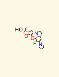 O=C(O)C1=CC2=C(OC3=C(F)C(N4CCCC4)=CC4C=CCN2C34)C1=O